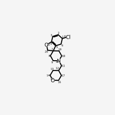 ClC1C=CC2=C(C1)C1(CCN(CC3CCOCC3)CC1)CO2